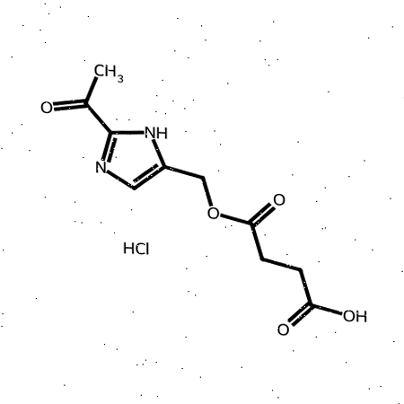 CC(=O)c1ncc(COC(=O)CCC(=O)O)[nH]1.Cl